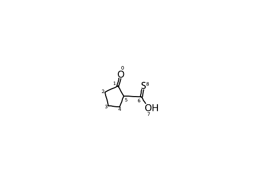 O=C1CCCC1C(O)=S